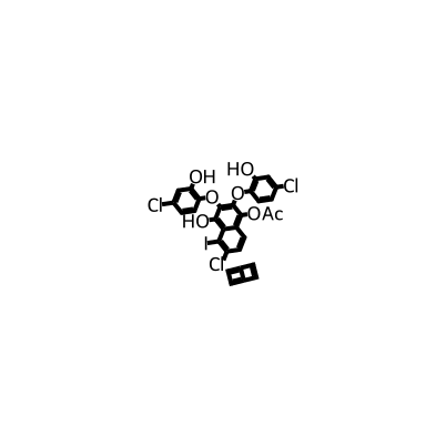 CC(=O)Oc1c(Oc2ccc(Cl)cc2O)c(Oc2ccc(Cl)cc2O)c(O)c2c(I)c(Cl)ccc12.c1cc2ccc1-2